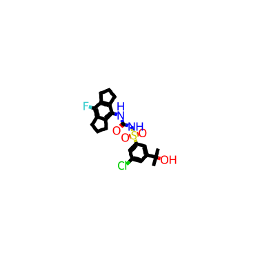 CC(C)(O)c1cc(Cl)cc(S(=O)(=O)NC(=O)Nc2c3c(c(F)c4c2CCC4)CCC3)c1